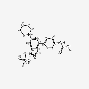 COC(=O)Nc1ccc(-c2nc(N3CCOCC3)nc3c2cnn3CS(C)(=O)=O)cc1